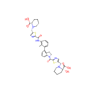 Cc1c(NC(=O)c2ncc(CN3CCCC[C@H]3C(=O)O)s2)cccc1-c1cccc2c1CCN2C(=O)c1ncc(CN2CCCC[C@]2(O)C(=O)O)s1